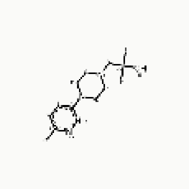 Cc1ccc(N2CCN(CC(C)(C)O)CC2)nn1